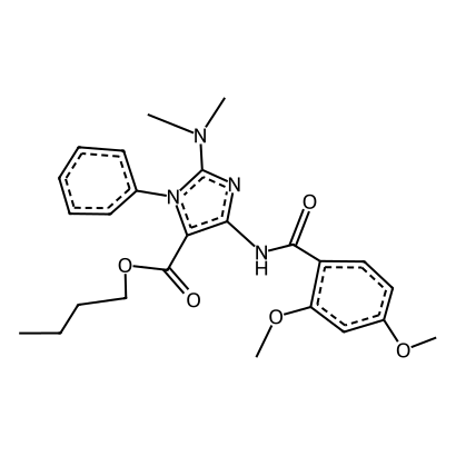 CCCCOC(=O)c1c(NC(=O)c2ccc(OC)cc2OC)nc(N(C)C)n1-c1ccccc1